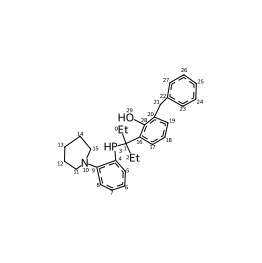 CCC(CC)(Pc1ccccc1N1CCCCC1)c1cccc(Cc2ccccc2)c1O